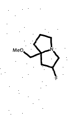 COCC12CCCN1CC(F)C2